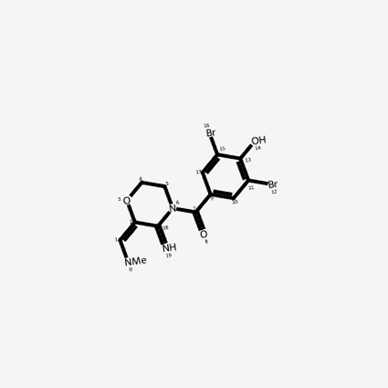 CN/C=C1/OCCN(C(=O)c2cc(Br)c(O)c(Br)c2)C1=N